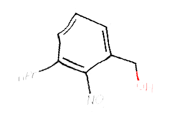 CCCc1cccc([CH]O)c1[N+](=O)[O-]